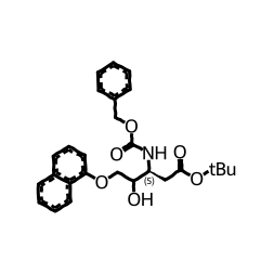 CC(C)(C)OC(=O)C[C@H](NC(=O)OCc1ccccc1)C(O)COc1cccc2ccccc12